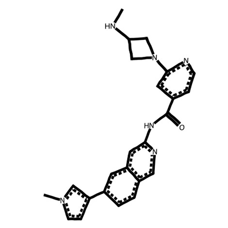 CNC1CN(c2cc(C(=O)Nc3cc4cc(-c5ccn(C)c5)ccc4cn3)ccn2)C1